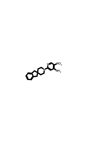 Nc1cc(N2CCC3(CC2)Cc2ccccc2C3)ncc1[N+](=O)[O-]